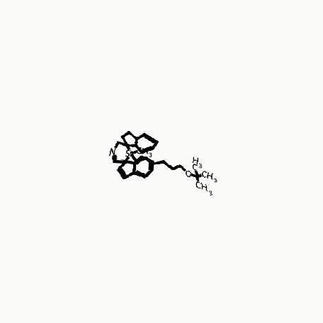 CC(C)(C)OCCCCCC[Si]1(C)C2(C=Cc3ccccc32)C=NCC12CCC1C=CC=CC12